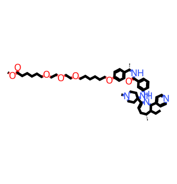 CCC1C(c2ccncc2)NC(C2(Nc3cccc(C(=O)N[C@@H](C)c4ccc(OCCCCCCOCCOCCOCCCCCC(=O)OC)cc4)c3)CCN(C)CC2)=CC[C@H]1C